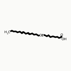 CCCCCCC=CCC=CCCCCCCCCCCCCCCC(=O)O